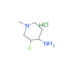 CN1CCC(N)C(F)C1.Cl